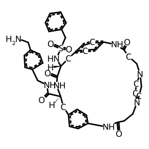 NCc1ccc(CNC(=O)[C@@H]2Cc3ccc(cc3)NC(=O)CCN3CCN(CCC(=O)Nc4ccc(cc4)C[C@@H](NS(=O)(=O)Cc4ccccc4)C(=O)N2)CC3)cc1